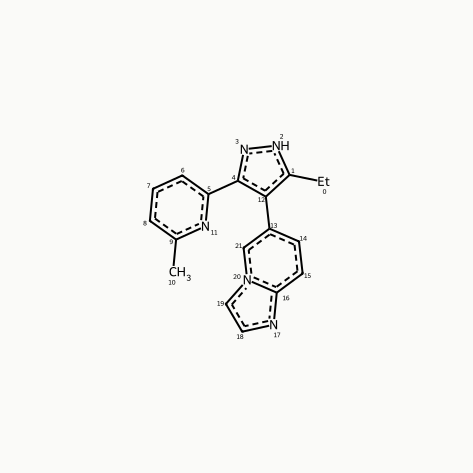 CCc1[nH]nc(-c2cccc(C)n2)c1-c1ccc2nccn2c1